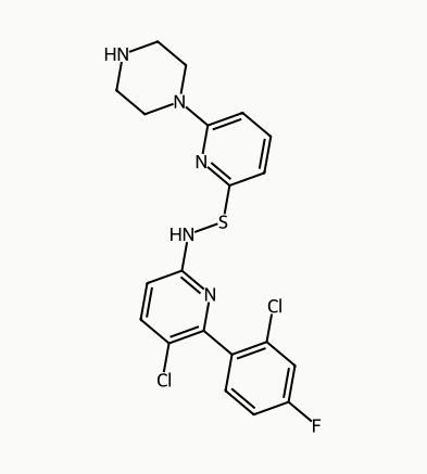 Fc1ccc(-c2nc(NSc3cccc(N4CCNCC4)n3)ccc2Cl)c(Cl)c1